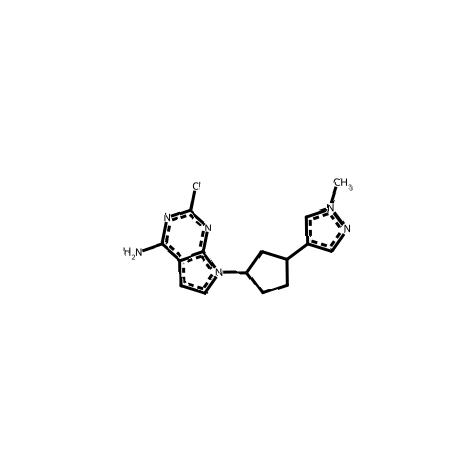 Cn1cc(C2CCC(n3ccc4c(N)nc(Cl)nc43)C2)cn1